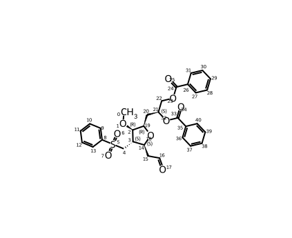 CO[C@@H]1[C@@H](CS(=O)(=O)c2ccccc2)[C@H](CC=O)O[C@@H]1C[C@@H](COC(=O)c1ccccc1)OC(=O)c1ccccc1